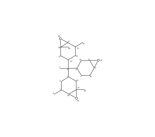 CC1CC(C(C)(C2CCC3OC3C2)C2CC(C)C3OC3(C)C2)CC2(C)OC12